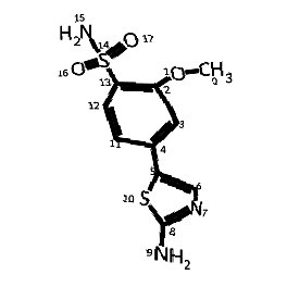 COc1cc(-c2cnc(N)s2)ccc1S(N)(=O)=O